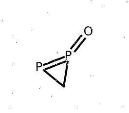 O=P1=PC1